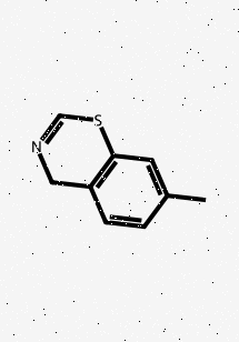 Cc1ccc2c(c1)SC=NC2